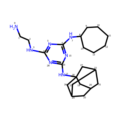 NCCNc1nc(NC2CCCCCC2)nc(NC23CC4CC(CC(C4)C2)C3)n1